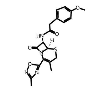 COc1ccc(CC(=O)N[C@@H]2C(=O)N3C(c4nc(C)no4)=C(C)CS[C@H]23)cc1